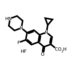 F.O=C(O)c1cn(C2CC2)c2cc(N3CCNCC3)c(F)cc2c1=O